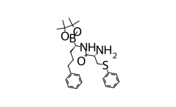 CC1(C)OB([C@H](CCCc2ccccc2)NC(=O)[C@H](N)CSc2ccccc2)OC1(C)C